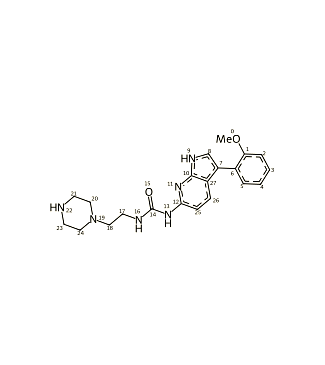 COc1ccccc1-c1c[nH]c2nc(NC(=O)NCCN3CCNCC3)ccc12